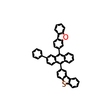 c1ccc(-c2ccc3c(-c4ccc5sc6ccccc6c5c4)c4ccccc4c(-c4ccc5c(c4)oc4ccccc45)c3c2)cc1